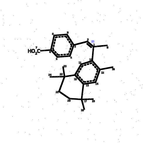 C/C(=C/c1ccc(C(=O)O)cc1)c1cc2c(cc1C)C(C)(C)CCC2(C)C